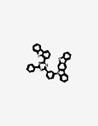 c1ccc(-c2nc(-c3cccc(-n4c5ccccc5c5cc6c(cc54)sc4ccccc46)c3)nc(-c3cccc4c3sc3ccccc34)n2)cc1